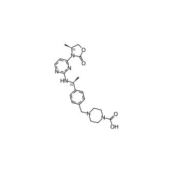 C[C@H](Nc1nccc(N2C(=O)OC[C@@H]2C)n1)c1ccc(CN2CCN(C(=O)O)CC2)cc1